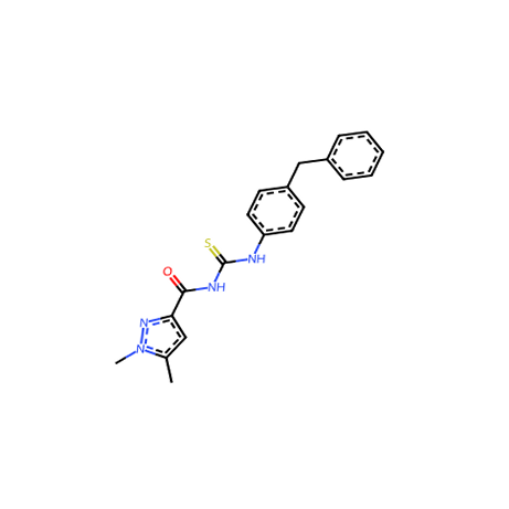 Cc1cc(C(=O)NC(=S)Nc2ccc(Cc3ccccc3)cc2)nn1C